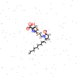 CCCCCCCC=C[C@H]1CCC(=O)N1CCSc1nc(C(=O)O)cs1